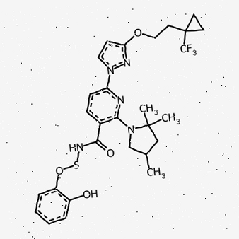 CC1CN(c2nc(-n3ccc(OCCC4(C(F)(F)F)CC4)n3)ccc2C(=O)NSOc2ccccc2O)C(C)(C)C1